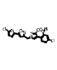 O=C(O)c1nn(Cc2cc(-c3ccc(Cl)s3)on2)cc1-c1ccc(Cl)cc1Cl